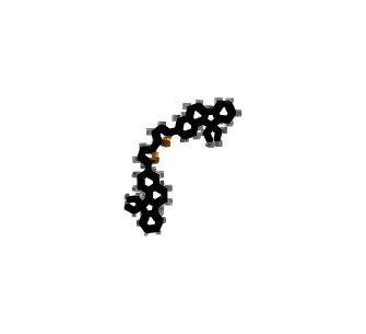 CCC1(CC)c2ccccc2-c2ccc3cc(-c4ccc(-c5ccc(-c6ccc7c8c(ccc7c6)-c6ccccc6C8(CC)CC)s5)s4)ccc3c21